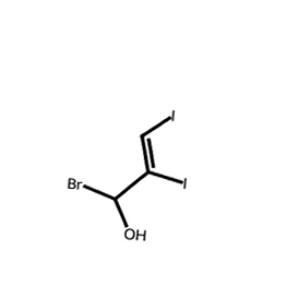 OC(Br)C(I)=CI